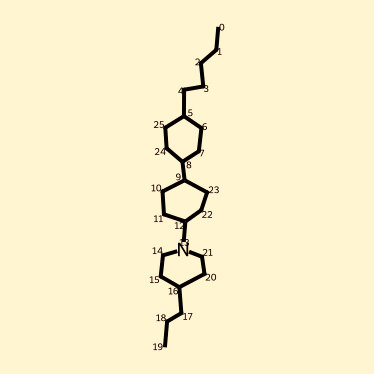 CCCCCC1CCC(C2CCC(N3CCC(CCC)CC3)CC2)CC1